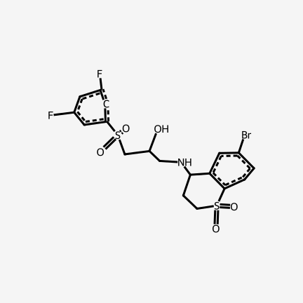 O=S(=O)(CC(O)CNC1CCS(=O)(=O)c2ccc(Br)cc21)c1cc(F)cc(F)c1